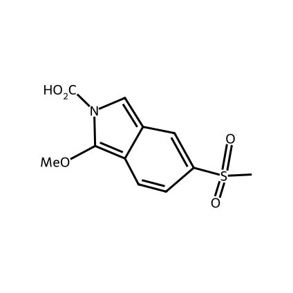 COc1c2ccc(S(C)(=O)=O)cc2cn1C(=O)O